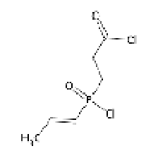 CC=CP(=O)(Cl)CCC(=O)Cl